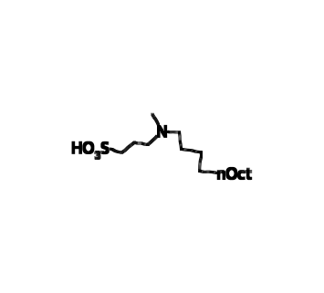 CCCCCCCCCCCCN(C)CCCS(=O)(=O)O